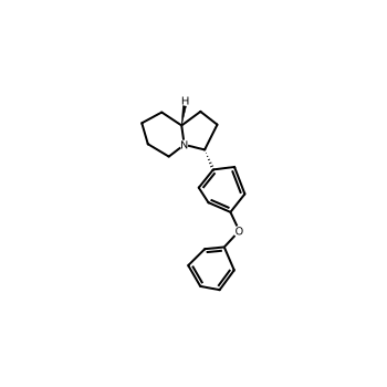 c1ccc(Oc2ccc([C@H]3CC[C@H]4CCCCN43)cc2)cc1